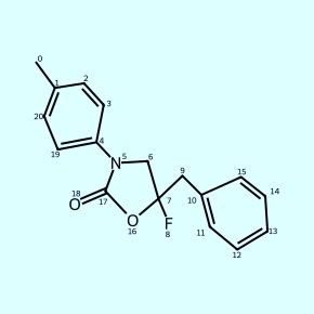 Cc1ccc(N2CC(F)(Cc3ccccc3)OC2=O)cc1